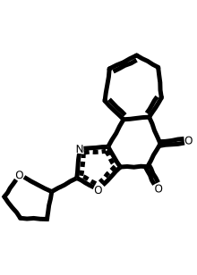 O=C1C(=O)c2oc(C3CCCO3)nc2C2=CC=CCC=C12